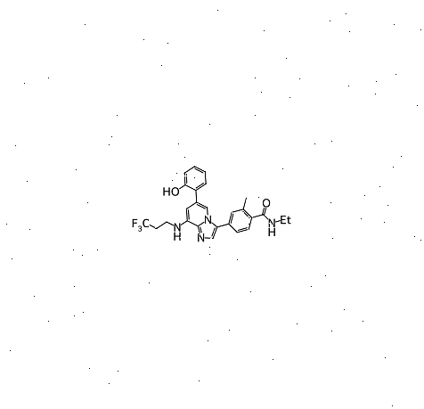 CCNC(=O)c1ccc(-c2cnc3c(NCCC(F)(F)F)cc(-c4ccccc4O)cn23)cc1C